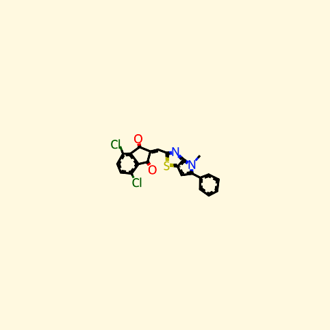 Cn1c(-c2ccccc2)cc2sc(C=C3C(=O)c4c(Cl)ccc(Cl)c4C3=O)nc21